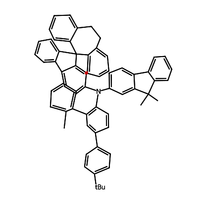 Cc1ccccc1-c1cc(-c2ccc(C(C)(C)C)cc2)ccc1N(c1ccc2c(c1)C(C)(C)c1ccccc1-2)c1ccc2c(c1)C1(c3ccccc3CCc3ccccc31)c1ccccc1-2